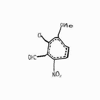 COc1ccc([N+](=O)[O-])c(C=O)c1Cl